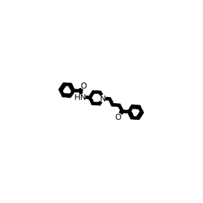 O=C(CCCN1CCC(NC(=O)c2ccccc2)CC1)c1ccccc1